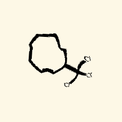 ClC(Cl)(Cl)C1/C=C\CCCCC1